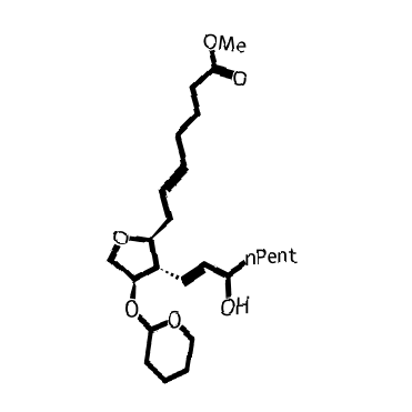 CCCCCC(O)C=C[C@H]1[C@H](CC=CCCCC(=O)OC)OC[C@@H]1OC1CCCCO1